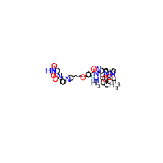 CN1CCC[C@@H]1c1cc2cnc(NC(=O)c3ccc(OCCCC4CCN(c5cccc6c5CN(C5CCC(=O)NC5=O)C6=O)CC4)cc3F)cc2n1C(=O)OC(C)(C)C